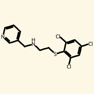 Clc1cc(Cl)c(SCCNCc2cccnc2)c(Cl)c1